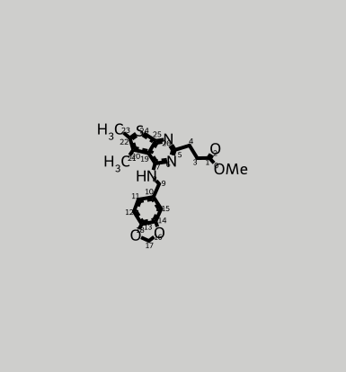 COC(=O)CCc1nc(NCc2ccc3c(c2)OCO3)c2c(C)c(C)sc2n1